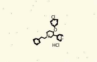 Cl.Clc1ccc(OC2CCN(CCc3ccccc3)CC2c2ccccc2)cc1